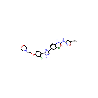 CC(C)(C)c1cc(NC(=O)Nc2ccc(-c3c[nH]c(-c4ccc(OCCN5CCOCC5)cc4F)n3)cc2F)no1